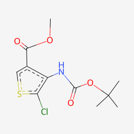 COC(=O)c1csc(Cl)c1NC(=O)OC(C)(C)C